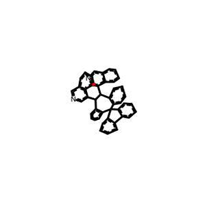 c1ccc2c(c1)-c1ccccc1C21c2ccccc2C(c2cncc3ccccc23)C(c2cncc3ccccc23)c2ccccc21